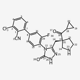 N#Cc1c(Cl)cccc1-c1ccc(-n2c(C[C@@]3(C(=O)C4CC4)CCNC3)n[nH]c2=O)c(F)c1